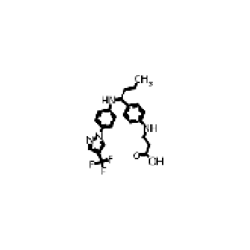 CCC[C@H](Nc1ccc(-n2cc(C(F)(F)F)cn2)cc1)c1ccc(NCCC(=O)O)cc1